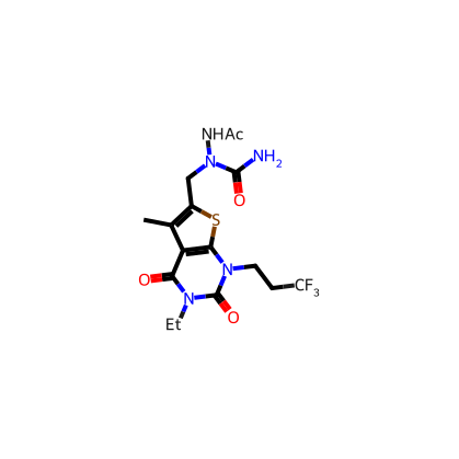 CCn1c(=O)c2c(C)c(CN(NC(C)=O)C(N)=O)sc2n(CCC(F)(F)F)c1=O